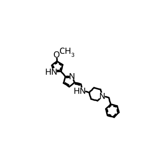 COc1c[nH]c(C2=N/C(=C/NC3CCN(Cc4ccccc4)CC3)C=C2)c1